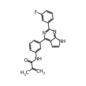 C=C(C)C(=O)Nc1cccc(-c2nc(-c3cccc(F)c3)nc3[nH]ccc23)c1